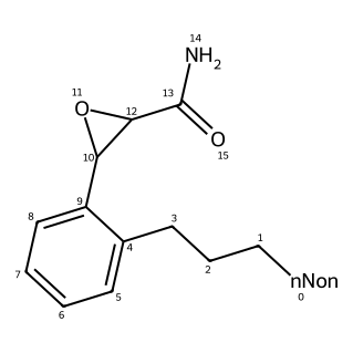 CCCCCCCCCCCCc1ccccc1C1OC1C(N)=O